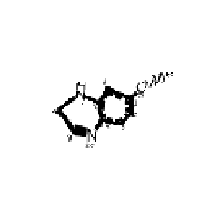 COc1ccc2c(c1)NCC=N2